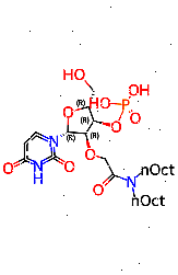 CCCCCCCCN(CCCCCCCC)C(=O)CO[C@@H]1[C@H](OP(=O)(O)O)[C@@H](CO)O[C@H]1n1ccc(=O)[nH]c1=O